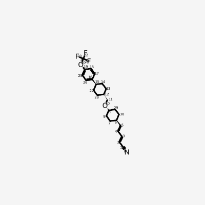 N#CC=CC=C[C@H]1CC[C@H](OC[C@H]2CC[C@H](c3ccc(OC(F)(F)F)cc3)CC2)CC1